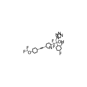 OC(Cn1cnnn1)(c1ccc(F)cc1F)C(F)(F)c1ccc(C#Cc2ccc(OC(F)F)cc2)cn1